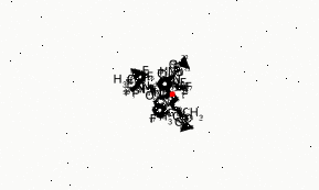 CC(C)(CCc1ccc(-c2ccc(Cl)c3c(NS(=O)(=O)C4CC4)nn(CC(F)(F)F)c23)c([C@H](Cc2cc(F)cc(F)c2)NC(=O)Cn2nc(C(F)(F)F)c3c2C(F)(F)C2C[C@@]32C)n1)S(=O)(=O)C1CC1